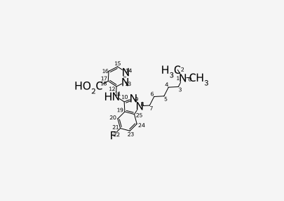 CN(C)CCCCCn1nc(Nc2nnccc2C(=O)O)c2cc(F)ccc21